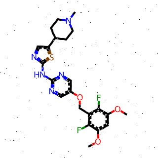 COc1cc(OC)c(F)c(COc2cnc(Nc3ncc(C4CCN(C)CC4)s3)nc2)c1F